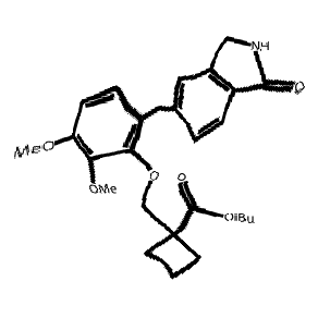 COc1ccc(-c2ccc3c(c2)CNC3=O)c(OCC2(C(=O)OCC(C)C)CCC2)c1OC